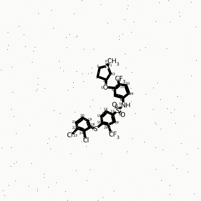 CN1CCC(Oc2cc(NS(=O)(=O)c3ccc(Sc4cccc(Cl)c4Cl)c(C(F)(F)F)c3)ccc2C(F)(F)F)C1